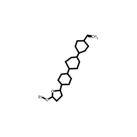 C=CC1CCC(C2CCC(C3CCC(C4CCC(OCC)O4)CC3)CC2)CC1